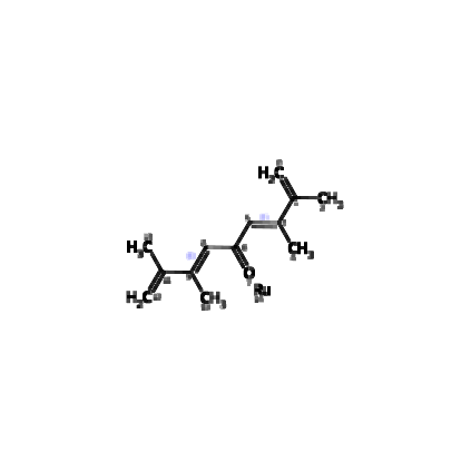 C=C(C)/C(C)=C/C(=O)/C=C(\C)C(=C)C.[Ru]